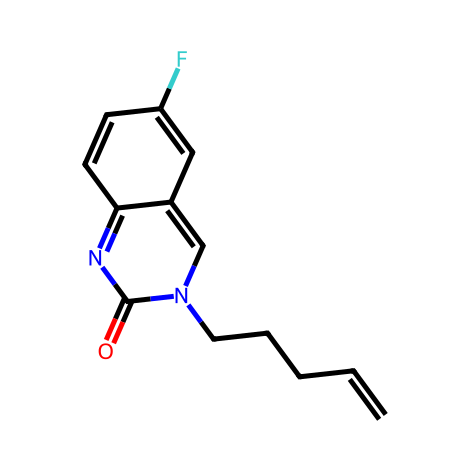 C=CCCCn1cc2cc(F)ccc2nc1=O